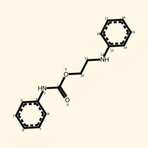 O=C(Nc1ccccc1)OCCNc1ccccc1